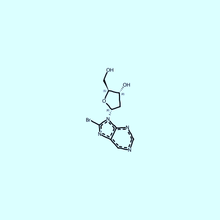 OC[C@@H]1O[C@@H](n2c(Br)nc3cncnc32)C[C@H]1O